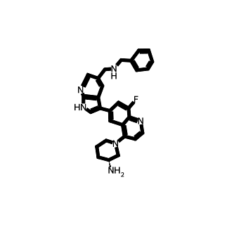 N[C@@H]1CCCN(c2ccnc3c(F)cc(-c4c[nH]c5ncc(CNCc6ccccc6)cc45)cc23)C1